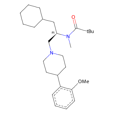 COc1ccccc1C1CCN(C[C@@H](CC2CCCCC2)N(C)C(=O)C(C)(C)C)CC1